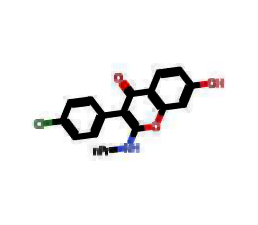 CCCNc1oc2cc(O)ccc2c(=O)c1-c1ccc(Cl)cc1